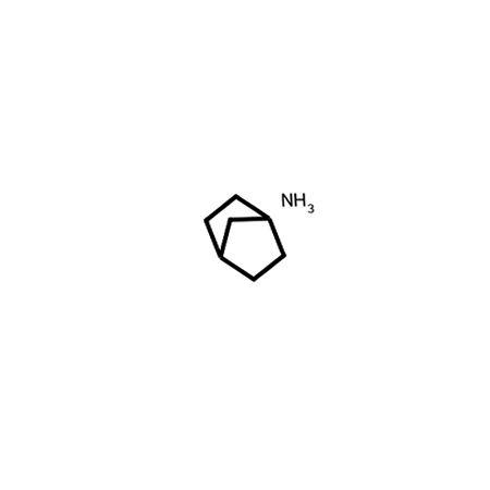 C1CC2CCC1C2.N